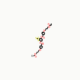 C=CC(=O)OCCCCOc1ccc(C(=O)Oc2ccc(OC(=O)c3ccc(OCCCCOC(=O)CC)cc3)c3sc(=S)sc23)cc1